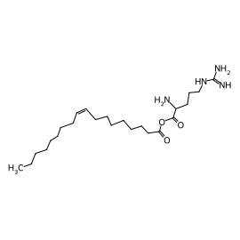 CCCCCCCC/C=C\CCCCCCCC(=O)OC(=O)C(N)CCCNC(=N)N